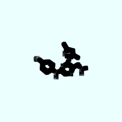 CNCc1ncc(Nc2ccc(Cl)cc2)nc1-n1nc(C)cc1C